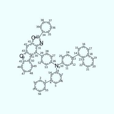 c1ccc(-c2cccc(N(c3ccc(-c4cccc5ccccc45)cc3)c3ccc(-c4c5nc(-c6ccccc6)oc5cc5oc6ccccc6c45)cc3)c2)cc1